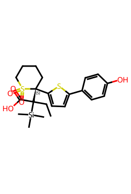 CCC(C(=O)O)([C@]1(c2ccc(-c3ccc(O)cc3)s2)CCCCS1(=O)=O)[Si](C)(C)C